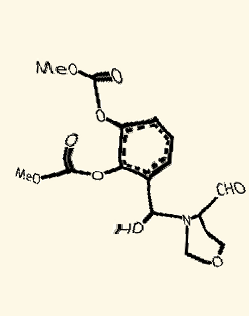 COC(=O)Oc1cccc(C(O)N2COCC2C=O)c1OC(=O)OC